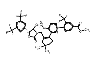 COC(=O)c1ccc(-c2ccc(OC)c(C3=C(CN4C(=O)O[C@H](c5cc(C(F)(F)F)cc(C(F)(F)F)c5)C4C)CC(C)(C)CC3)n2)c(C(F)(F)F)c1